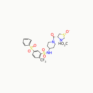 O=C([C@@H]1C[S+]([O-])CN1C(=O)O)N1CCC(NS(=O)(=O)c2cc(S(=O)(=O)c3ccccc3)ccc2C(F)(F)F)CC1